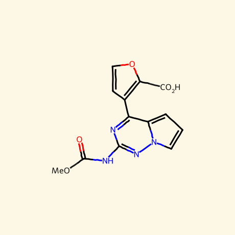 COC(=O)Nc1nc(-c2ccoc2C(=O)O)c2cccn2n1